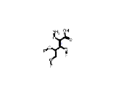 NO/C(C(=O)O)=C(/OF)C(COF)OF